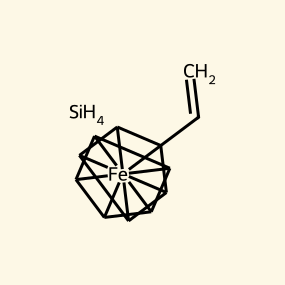 C=C[C]12[CH]3[CH]4[CH]5[CH]1[Fe]45321678[CH]2[CH]1[CH]6[CH]7[CH]28.[SiH4]